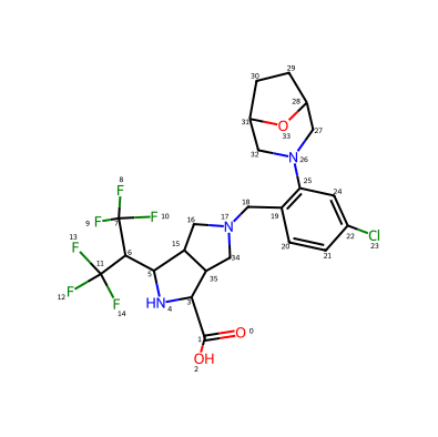 O=C(O)C1NC(C(C(F)(F)F)C(F)(F)F)C2CN(Cc3ccc(Cl)cc3N3CC4CCC(C3)O4)CC12